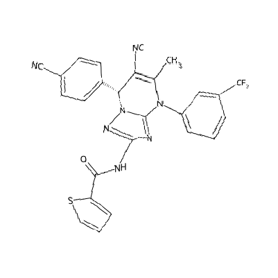 [C-]#[N+]C1=C(C)N(c2cccc(C(F)(F)F)c2)c2nc(NC(=O)c3cccs3)nn2[C@@H]1c1ccc(C#N)cc1